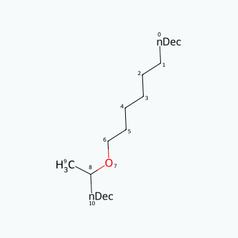 CCCCCCCCCCCCCCCCOC(C)CCCCCCCCCC